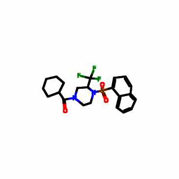 O=C(C1CCCCC1)N1CCN(S(=O)(=O)c2cccc3ccccc23)C(C(F)(F)F)C1